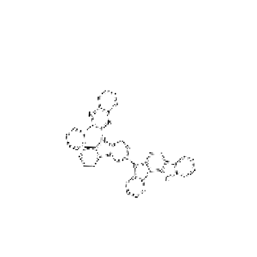 c1ccc(-c2nc3ccccc3nc2-n2c3ccccc3c3cc(-n4c5ccccc5c5c6oc7ccccc7c6ccc54)ccc32)cc1